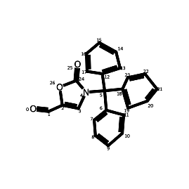 O=Cc1cn(C(c2ccccc2)(c2ccccc2)c2ccccc2)c(=O)o1